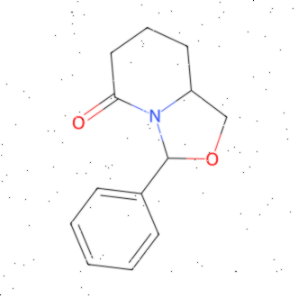 O=C1CCCC2COC(c3ccccc3)N12